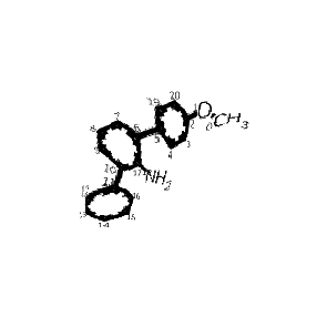 COc1ccc(-c2cccc(-c3ccccc3)c2N)cc1